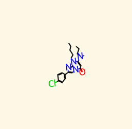 CCCCCn1c(N(C)CCC)cc(=O)n2cc(-c3ccc(Cl)cc3)nc12